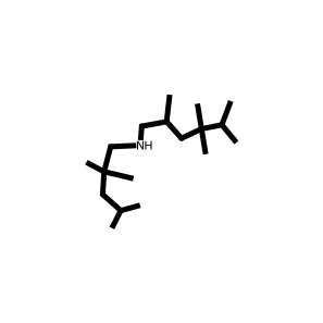 CC(C)CC(C)(C)CNCC(C)CC(C)(C)C(C)C